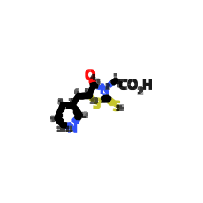 O=C(O)CN1C(=O)C(=Cc2cccnc2)SC1=S